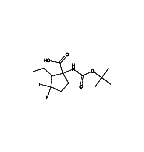 CCC1C(F)(F)CCC1(NC(=O)OC(C)(C)C)C(=O)O